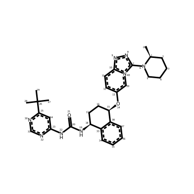 C[C@H]1CCCCN1c1nnc2ccc(O[C@@H]3CC[C@H](NC(=O)Nc4cc(C(C)(C)C)ncn4)c4ccccc43)cn12